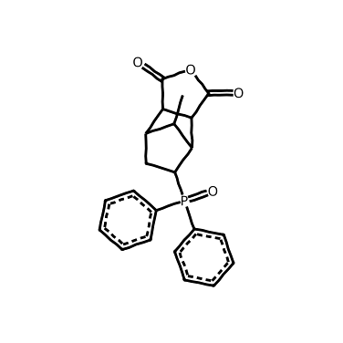 CC1C2CC(P(=O)(c3ccccc3)c3ccccc3)C1C1C(=O)OC(=O)C21